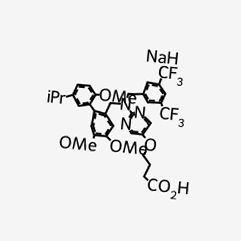 COc1cc(CN(Cc2cc(C(F)(F)F)cc(C(F)(F)F)c2)c2ncc(OCCCC(=O)O)cn2)c(-c2cc(C(C)C)ccc2OC)cc1OC.[NaH]